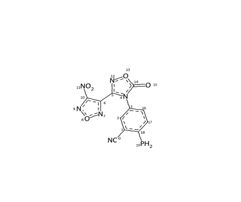 N#Cc1cc(-n2c(-c3nonc3[N+](=O)[O-])noc2=O)ccc1P